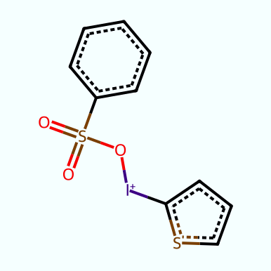 O=S(=O)(O[I+]c1cccs1)c1ccccc1